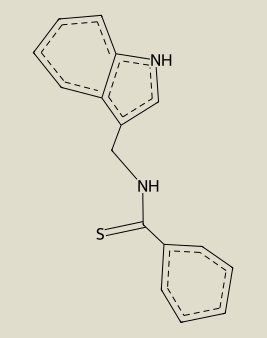 S=C(NCc1c[nH]c2ccccc12)c1ccccc1